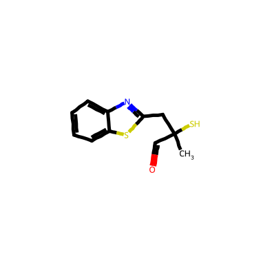 CC(S)(C=O)Cc1nc2ccccc2s1